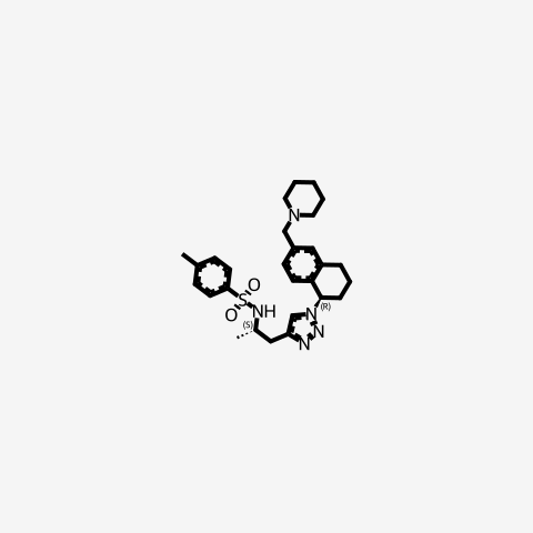 Cc1ccc(S(=O)(=O)N[C@@H](C)Cc2cn([C@@H]3CCCc4cc(CN5CCCCC5)ccc43)nn2)cc1